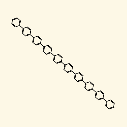 [c]1ccc(-c2ccc(-c3ccc(-c4ccc(-c5ccc(-c6ccc(-c7ccc(-c8ccc(-c9ccc(-c%10ccccc%10)cc9)cc8)cc7)cc6)cc5)cc4)cc3)cc2)cc1